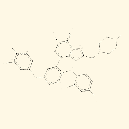 CN1CCN(Cc2cc3c(-c4cc(Nc5ccc(O)c(O)c5)ccc4Oc4ccc(F)cc4F)cn(C)c(=O)c3[nH]2)CC1